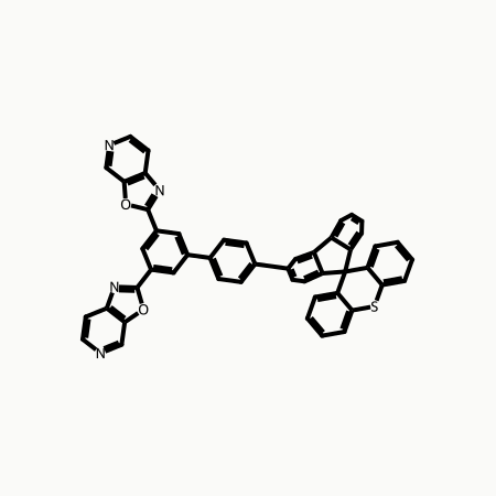 c1ccc2c(c1)Sc1ccccc1C21c2ccccc2-c2cc(-c3ccc(-c4cc(-c5nc6ccncc6o5)cc(-c5nc6ccncc6o5)c4)cc3)ccc21